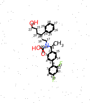 C[C@@H](c1ccc(-c2ccc(F)cc2F)cc1)N(CC[C@H](CCCO)c1ccccc1)C(=O)O